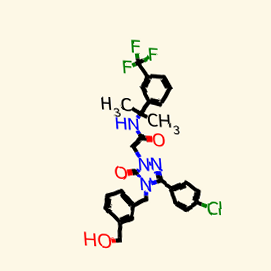 CC(C)(NC(=O)Cn1nc(-c2ccc(Cl)cc2)n(Cc2cccc(CO)c2)c1=O)c1cccc(C(F)(F)F)c1